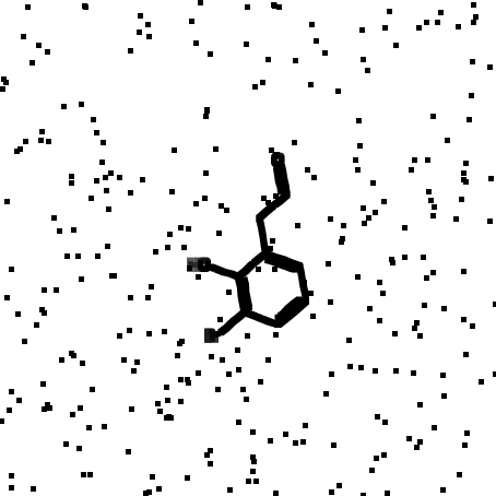 O=CCc1cccc(Br)c1O